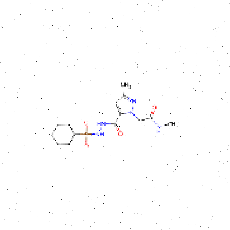 CNC(=O)Cn1nc(C)cc1C(=O)NNS(=O)(=O)C1CCCCC1